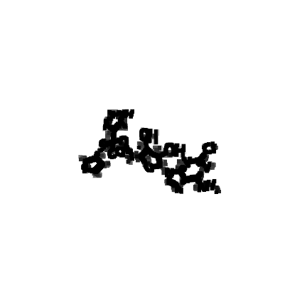 Nc1nc(Cl)nc2c1ncn2[C@@H]1O[C@H](COC(Sc2ccsc2)(C(=O)O)c2nn[nH]n2)[C@@H](O)[C@H]1O